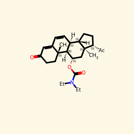 CCN(CC)C(=O)O[C@H]1C[C@]2(C)[C@@H](C(C)=O)CC[C@H]2[C@@H]2C=CC3=CC(=O)CC[C@@]3(C)[C@@H]21